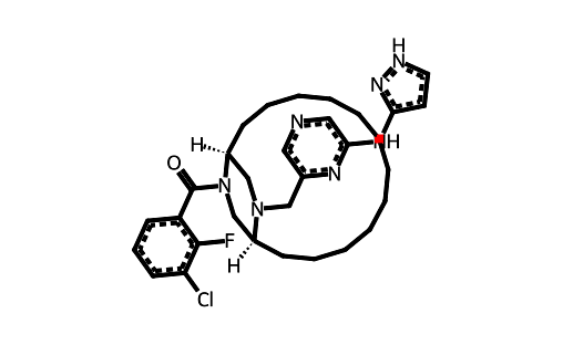 O=C(c1cccc(Cl)c1F)N1C[C@@H]2CCCCCCCCCCCC[C@H]1CN2Cc1cncc(Nc2cc[nH]n2)n1